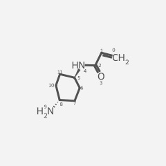 C=CC(=O)N[C@H]1CC[C@H](N)CC1